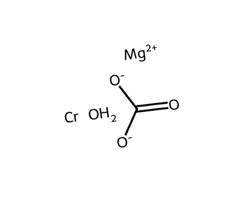 O.O=C([O-])[O-].[Cr].[Mg+2]